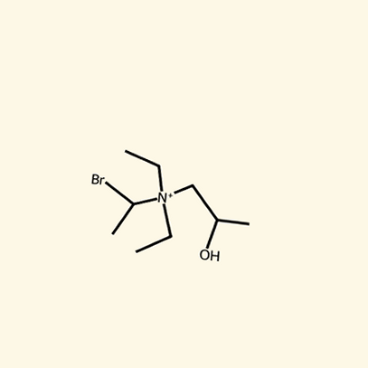 CC[N+](CC)(CC(C)O)C(C)Br